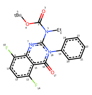 CCN(C(=O)OC(C)(C)C)c1nc2c(F)ccc(F)c2c(=O)n1-c1ccccc1